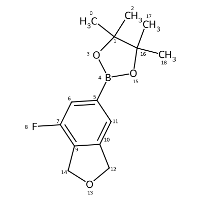 CC1(C)OB(c2cc(F)c3c(c2)COC3)OC1(C)C